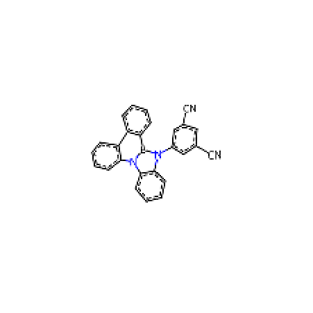 N#Cc1cc(C#N)cc(N2B3c4ccccc4-c4ccccc4N3c3ccccc32)c1